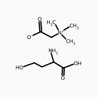 C[N+](C)(C)CC(=O)[O-].NC(CCO)C(=O)O